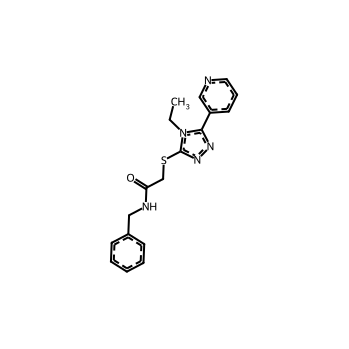 CCn1c(SCC(=O)NCc2ccccc2)nnc1-c1cccnc1